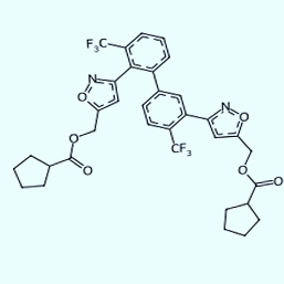 O=C(OCc1cc(-c2cc(-c3cccc(C(F)(F)F)c3-c3cc(COC(=O)C4CCCC4)on3)ccc2C(F)(F)F)no1)C1CCCC1